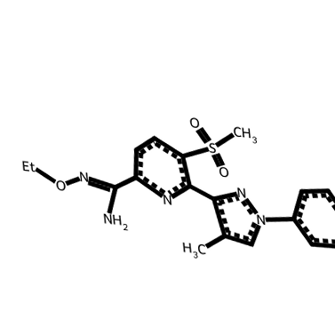 CCO/N=C(\N)c1ccc(S(C)(=O)=O)c(-c2nn(-c3ccccc3)cc2C)n1